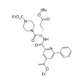 C=C(OCC)c1cc(C(=O)N[C@@H](CCC(=O)OC(C)(C)C)C(=O)N2CCN(C(=O)OCC)CC2)nc(-c2ccccc2)c1